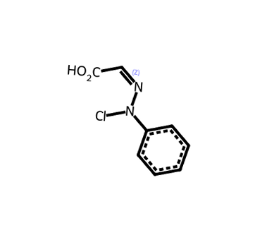 O=C(O)/C=N\N(Cl)c1ccccc1